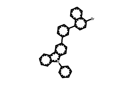 Brc1ccc(-c2cccc(-c3ccc4c(c3)c3ccccc3n4-c3ccccc3)c2)c2ccccc12